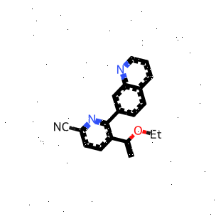 C=C(OCC)c1ccc(C#N)nc1-c1ccc2cccnc2c1